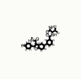 CNC(=O)c1c(-c2ccc(F)cc2)oc2ccc(-c3cccc(C(=O)N[C@H](C(N)=O)C(C)C)c3)cc12